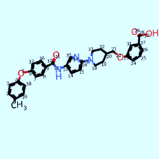 Cc1ccc(Oc2ccc(C(=O)Nc3ccc(N4CCC(COc5cccc(C(=O)O)c5)CC4)nc3)cc2)cc1